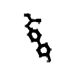 OB(O)Oc1ccc(-c2ccc(F)cc2)cc1